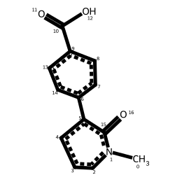 Cn1cccc(-c2ccc(C(=O)O)cc2)c1=O